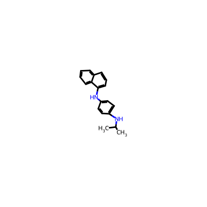 CC(C)Nc1ccc(Nc2cccc3ccccc23)cc1